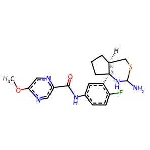 COc1cnc(C(=O)Nc2ccc(F)c([C@]34CCC[C@H]3CSC(N)N4)c2)cn1